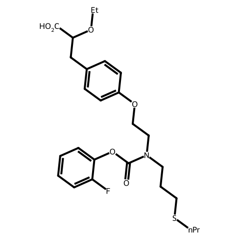 CCCSCCCN(CCOc1ccc(CC(OCC)C(=O)O)cc1)C(=O)Oc1ccccc1F